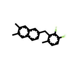 Cc1cc2ccc(Cc3c(C)ccc(F)c3F)cc2cc1C